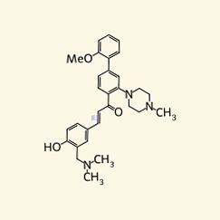 COc1ccccc1-c1ccc(C(=O)/C=C/c2ccc(O)c(CN(C)C)c2)c(N2CCN(C)CC2)c1